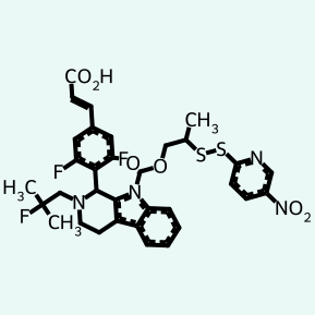 CC(COC(=O)n1c2c(c3ccccc31)CCN(CC(C)(C)F)C2c1c(F)cc(/C=C/C(=O)O)cc1F)SSc1ccc([N+](=O)[O-])cn1